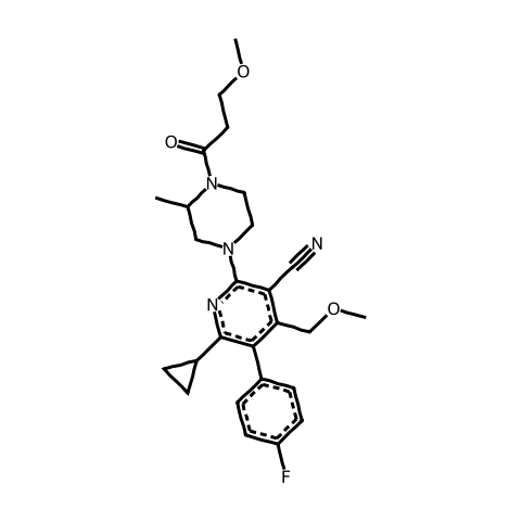 COCCC(=O)N1CCN(c2nc(C3CC3)c(-c3ccc(F)cc3)c(COC)c2C#N)CC1C